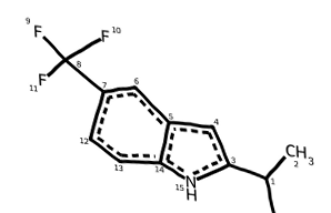 CC(C)c1cc2cc(C(F)(F)F)ccc2[nH]1